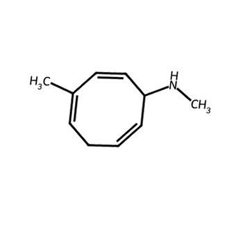 CNC1/C=C\C/C=C(C)\C=C/1